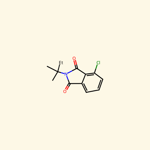 CCC(C)(C)N1C(=O)c2cccc(Cl)c2C1=O